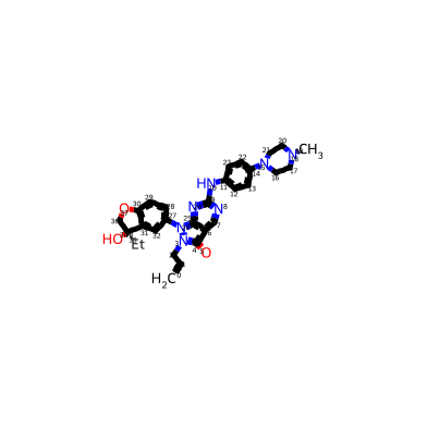 C=CCn1c(=O)c2cnc(Nc3ccc(N4CCN(C)CC4)cc3)nc2n1-c1ccc2c(c1)[C@](O)(CC)CO2